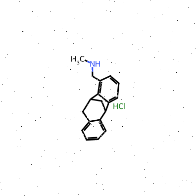 CNCc1cccc2c1C1Cc3ccccc3C2C1.Cl